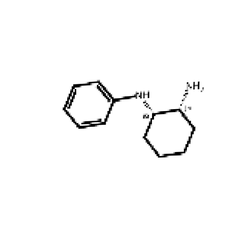 N[C@@H]1CCCC[C@@H]1Nc1ccccc1